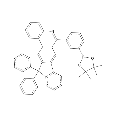 CC1(C)OB(c2cccc(C3=Nc4ccccc4C4C=C5C(=CC34)c3ccccc3C5(c3ccccc3)c3ccccc3)c2)OC1(C)C